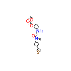 CC(C)(C)OC(=O)C(C)(C)Oc1cccc(NCCC(=O)N(Cc2ccc(-c3ccsc3)cc2)C2CC2)c1